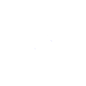 [C]1C=CNCCN1